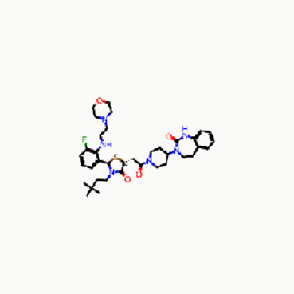 CC(C)(C)CCN1C(=O)[C@@H](CC(=O)N2CCC(N3CCc4ccccc4NC3=O)CC2)SC1c1cccc(F)c1NCCN1CCOCC1